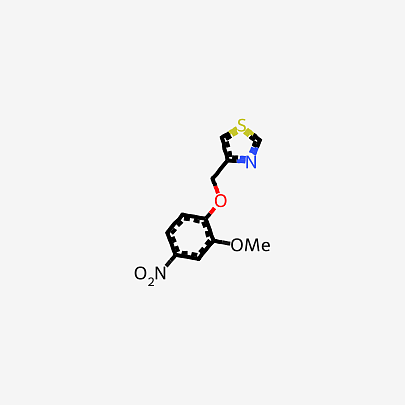 COc1cc([N+](=O)[O-])ccc1OCc1cscn1